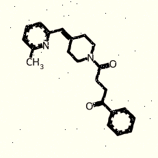 Cc1cccc(C=C2CCN(C(=O)CCC(=O)c3ccccc3)CC2)n1